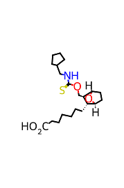 O=C(O)CCCCCC[C@@H]1[C@@H](COC(=S)NCC2CCCC2)[C@H]2CC[C@@H]1O2